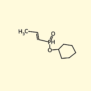 CC=C[PH](=O)OC1CCCCC1